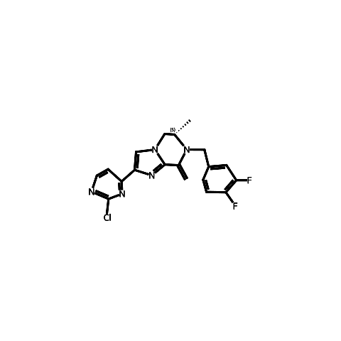 C=C1c2nc(-c3ccnc(Cl)n3)cn2C[C@H](C)N1Cc1ccc(F)c(F)c1